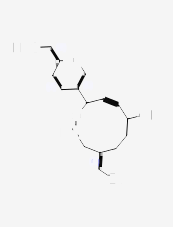 C\C=C/C=C\C(=C/C)C1C#CC(O)CC/C(=C\CC)CNO1